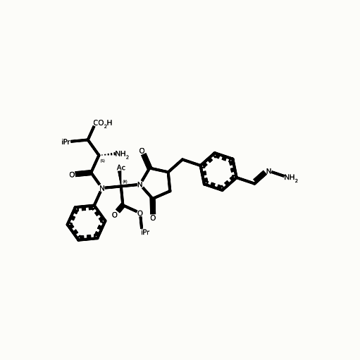 CC(=O)[C@](C(=O)OC(C)C)(N1C(=O)CC(Cc2ccc(C=NN)cc2)C1=O)N(C(=O)[C@@H](N)C(C(=O)O)C(C)C)c1ccccc1